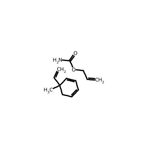 C=CC1(C)C=CC=CC1.C=CCOC(N)=O